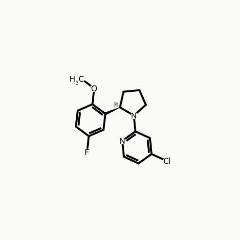 COc1ccc(F)cc1[C@H]1CCCN1c1cc(Cl)ccn1